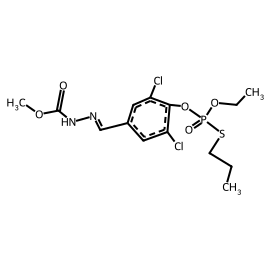 CCCSP(=O)(OCC)Oc1c(Cl)cc(C=NNC(=O)OC)cc1Cl